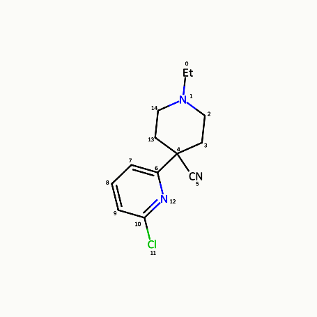 CCN1CCC(C#N)(c2cccc(Cl)n2)CC1